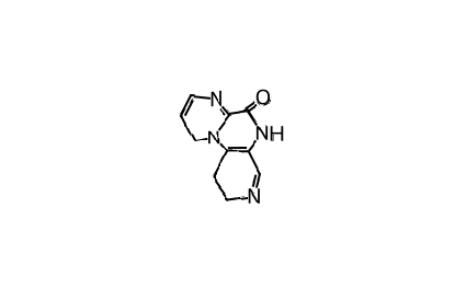 O=C1NC2=C(CCN=C2)N2CC=CN=C12